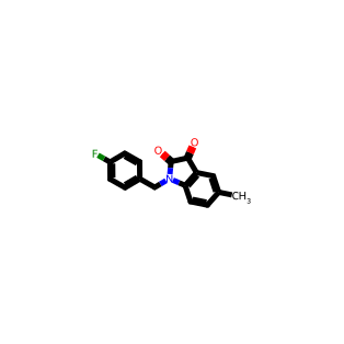 Cc1ccc2c(c1)C(=O)C(=O)N2Cc1ccc(F)cc1